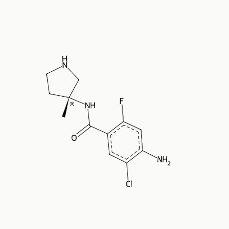 C[C@@]1(NC(=O)c2cc(Cl)c(N)cc2F)CCNC1